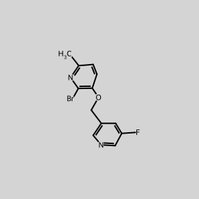 Cc1ccc(OCc2cncc(F)c2)c(Br)n1